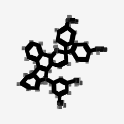 COc1ccc(C2(c3ccc(OC)cc3)C=Cc3c(c4ccccc4c4c5ccccc5n(-c5cc(C(F)(F)F)cc(C(F)(F)F)c5)c34)O2)cc1